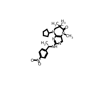 C[C@H](Nc1ncc2c(n1)N(C1CCCC1)CC(C)(C)C(=O)N2C)c1ccc([N+](=O)[O-])cc1